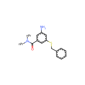 CCCN(CCC)C(=O)c1cc(N)cc(SCc2ccccc2)c1